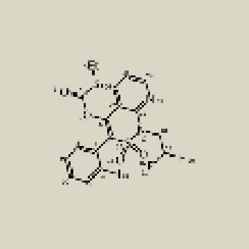 CCSC(=O)OC1=C(c2ccccc2I)S(=O)(=O)N(CC(F)F)c2ncccc21